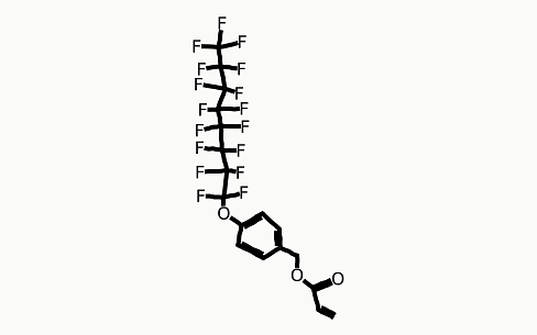 C=CC(=O)OCc1ccc(OC(F)(F)C(F)(F)C(F)(F)C(F)(F)C(F)(F)C(F)(F)C(F)(F)C(F)(F)F)cc1